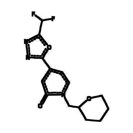 O=c1cc(-c2nnc(C(F)F)o2)ccn1CC1CCCCO1